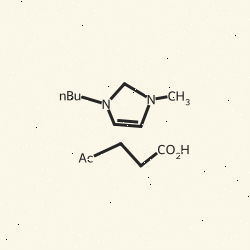 CC(=O)CCC(=O)O.CCCCN1C=CN(C)C1